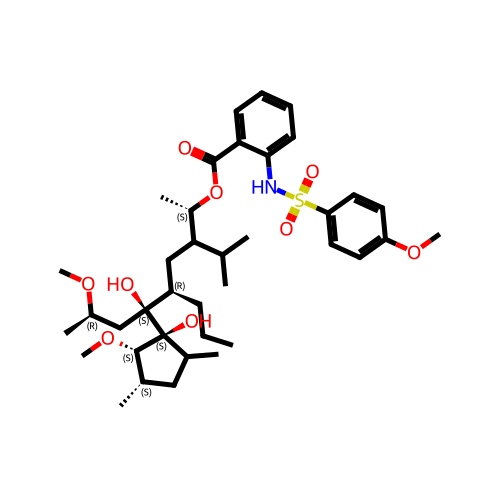 CCC[C@H](CC(C(C)C)[C@H](C)OC(=O)c1ccccc1NS(=O)(=O)c1ccc(OC)cc1)[C@@](O)(C[C@@H](C)OC)[C@]1(O)C(C)C[C@H](C)[C@@H]1OC